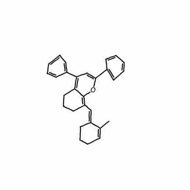 CC1=CCCC/C1=C\C1=C2OC(c3ccccc3)=CC(c3ccccc3)=C2CCC1